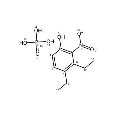 CCc1ccc(O)c([N+](=O)[O-])c1CC.O=P(O)(O)O